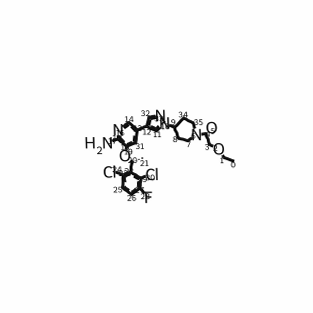 CCOCC(=O)N1CCC(n2cc(-c3cnc(N)c(O[C@H](C)c4c(Cl)ccc(F)c4Cl)c3)cn2)CC1